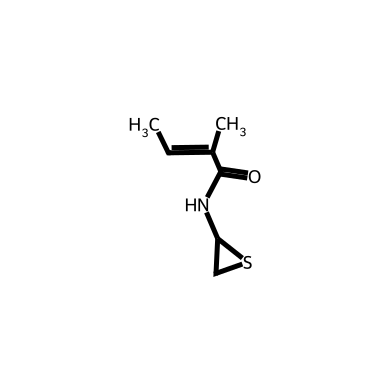 CC=C(C)C(=O)NC1CS1